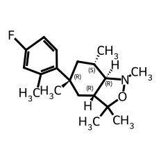 Cc1cc(F)ccc1[C@@]1(C)C[C@@H]2[C@@H]([C@@H](C)C1)N(C)OC2(C)C